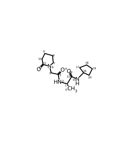 C[C@@H](NC(=O)CN1CCCCC1=O)C(=O)NC1CCCC1